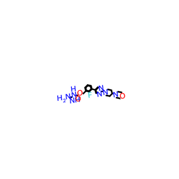 N=C(N)NC(=O)OCc1cccc(-c2cnc(N3CCC(N4CCOCC4)CC3)nc2)c1F